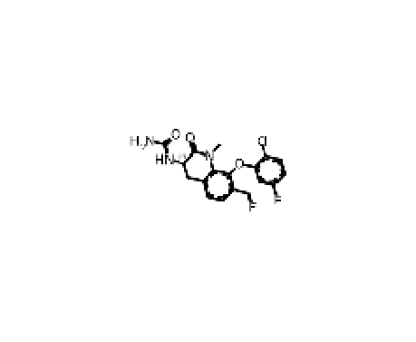 CN1C(=O)[C@H](NC(N)=O)Cc2ccc(CF)c(Oc3cc(F)ccc3Cl)c21